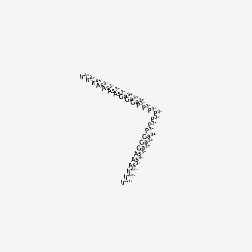 [As-3].[As-3].[As-3].[As-3].[As-3].[As-3].[As-3].[Ga+3].[Ga+3].[Ga+3].[Ga+3].[Ga+3].[Ga+3].[Ir+4].[Ir+4].[Ir+4].[Ir+4].[Ir+4].[Ir+4].[P-3].[P-3].[P-3].[P-3].[P-3].[P-3].[P-3]